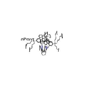 CCCCCC(CCCI)(CCCI)c1cc(C)c(O)c(/C=N/[C@H]2CCCC[C@@H]2/N=C/c2cc(C(CCCI)(CCCI)CCCCI)cc(C)c2O)c1